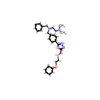 CN(C)CCN(Cc1ccccc1)Cc1ccc(-c2nnc(CSCCOc3ccccc3)o2)cc1